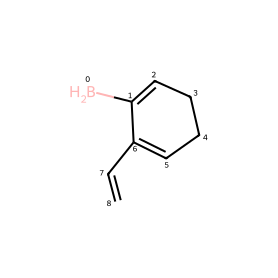 BC1=CCCC=C1C=C